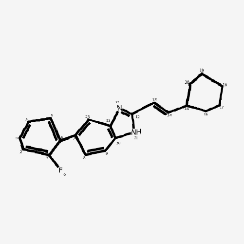 Fc1ccccc1-c1ccc2[nH]c(C=CC3CCCCC3)nc2c1